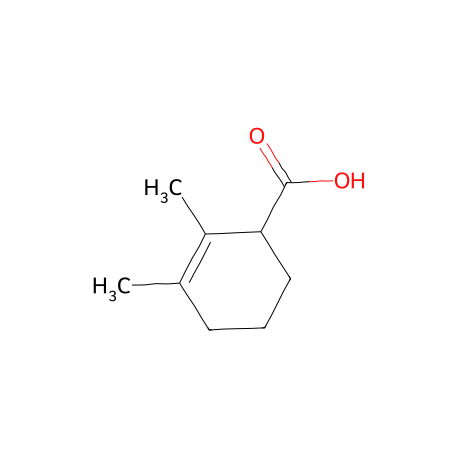 CC1=C(C)C(C(=O)O)CCC1